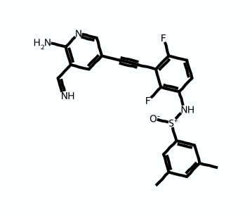 Cc1cc(C)cc([S+]([O-])Nc2ccc(F)c(C#Cc3cnc(N)c(C=N)c3)c2F)c1